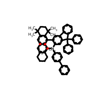 CC(C)c1ccc2c(c1-c1cc3c(cc1N(c1ccc(-c4ccccc4)cc1)c1cccc4c1CCCC4)C(c1ccccc1)(c1ccccc1)c1ccccc1-3)C(C)(C)CCC2(C)C